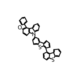 c1ccc2c(c1)oc1ccc3c(c4ccccc4n3-c3ccc4sc5c(-c6cccc7sc8ccccc8c67)cccc5c4c3)c12